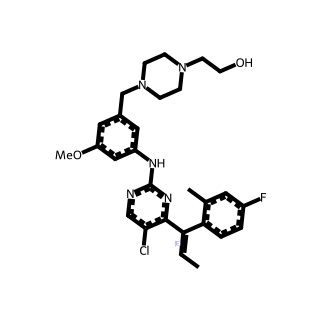 C/C=C(\c1ccc(F)cc1C)c1nc(Nc2cc(CN3CCN(CCO)CC3)cc(OC)c2)ncc1Cl